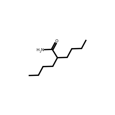 CCCC[C](CCCC)C(N)=O